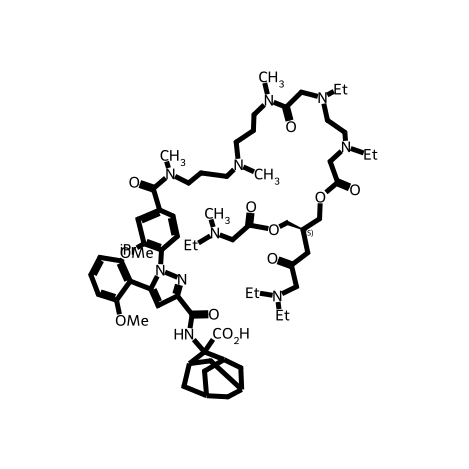 CCN(C)CC(=O)OC[C@@H](COC(=O)CN(CC)CCN(CC)CC(=O)N(C)CCCN(C)CCCN(C)C(=O)c1ccc(-n2nc(C(=O)NC3(C(=O)O)C4CC5CC(C4)CC3C5)cc2-c2c(OC)cccc2OC)c(C(C)C)c1)CC(=O)CN(CC)CC